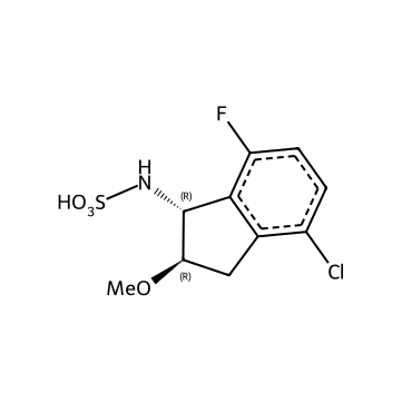 CO[C@@H]1Cc2c(Cl)ccc(F)c2[C@H]1NS(=O)(=O)O